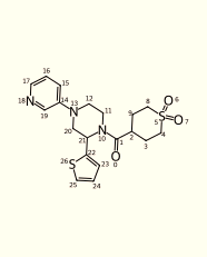 O=C(C1CCS(=O)(=O)CC1)N1CCN(c2cccnc2)CC1c1cccs1